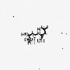 CC(C)CC(CO)NCCC(O)S(=O)(=O)O